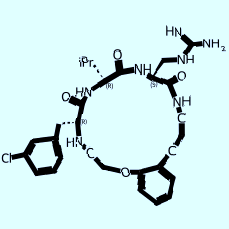 CC(C)[C@H]1NC(=O)[C@@H](Cc2cccc(Cl)c2)NCCOc2ccccc2CCCNC(=O)[C@H](CNC(=N)N)NC1=O